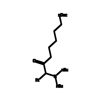 CCCCCCCCCCCCCCCC(=O)C(CC)N(CCCC)CCCC